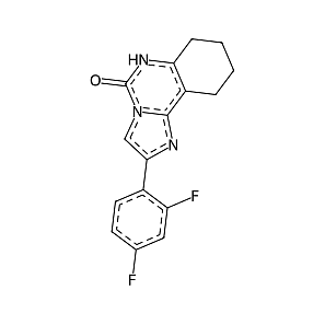 O=c1[nH]c2c(c3nc(-c4ccc(F)cc4F)cn13)CCCC2